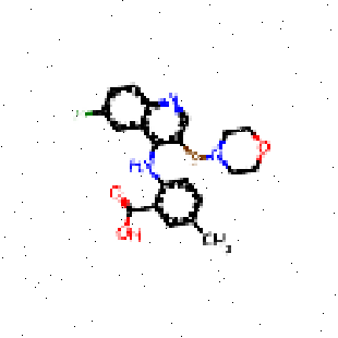 Cc1ccc(Nc2c(SN3CCOCC3)cnc3ccc(F)cc23)c(C(=O)O)c1